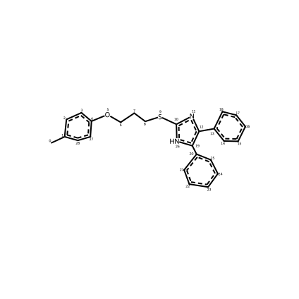 Cc1ccc(OCCCSc2nc(-c3ccccc3)c(-c3ccccc3)[nH]2)cc1